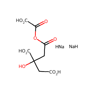 O=C(O)CC(O)(CC(=O)OC(=O)C(=O)O)C(=O)O.[NaH].[NaH]